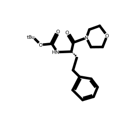 CC(C)(C)OC(=O)N[C@@H](CCc1ccccc1)C(=O)N1CCOCC1